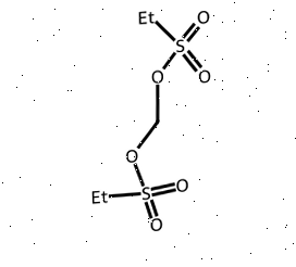 CCS(=O)(=O)OCOS(=O)(=O)CC